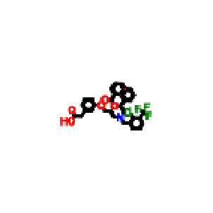 O=C(O)Cc1cccc(OCCCN(Cc2cccc(C(F)(F)F)c2Cl)CC(OC(=O)c2ccccc2)c2ccccc2)c1